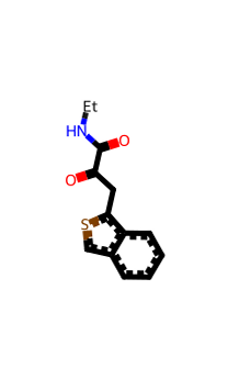 CCNC(=O)C(=O)Cc1scc2ccccc12